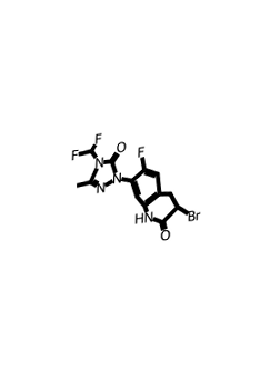 Cc1nn(-c2cc3c(cc2F)CC(Br)C(=O)N3)c(=O)n1C(F)F